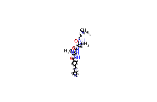 CN(C)CCCNC(=O)c1cc(NC(=O)c2cc(NC(=O)c3ccc(/C=C/c4ccncc4)cc3)cn2C)cn1C